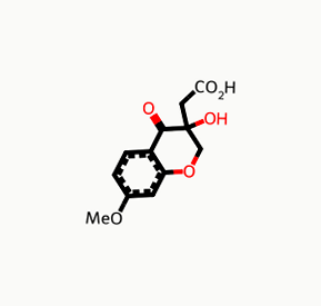 COc1ccc2c(c1)OCC(O)(CC(=O)O)C2=O